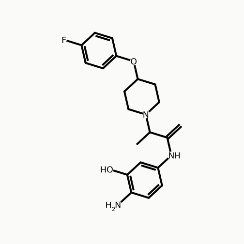 C=C(Nc1ccc(N)c(O)c1)C(C)N1CCC(Oc2ccc(F)cc2)CC1